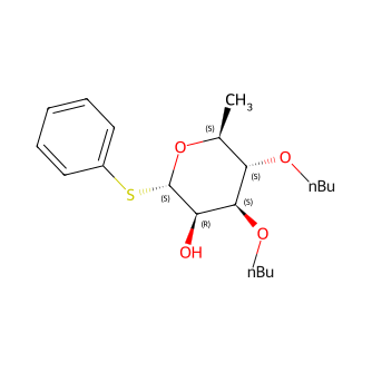 CCCCO[C@@H]1[C@@H](OCCCC)[C@@H](O)[C@H](Sc2ccccc2)O[C@H]1C